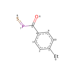 CCc1ccc(C(=O)P=S)cc1